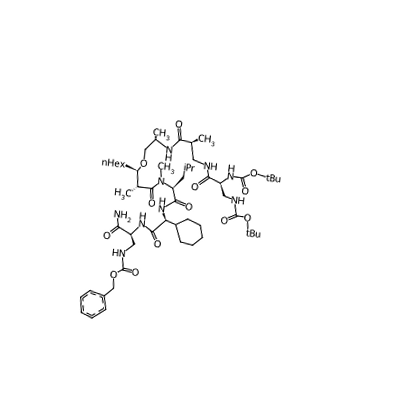 CCCCCC[C@@H](OC[C@@H](C)NC(=O)[C@@H](C)CNC(=O)[C@H](CNC(=O)OC(C)(C)C)NC(=O)OC(C)(C)C)[C@@H](C)C(=O)N(C)[C@@H](CC(C)C)C(=O)N[C@H](C(=O)N[C@@H](CNC(=O)OCc1ccccc1)C(N)=O)C1CCCCC1